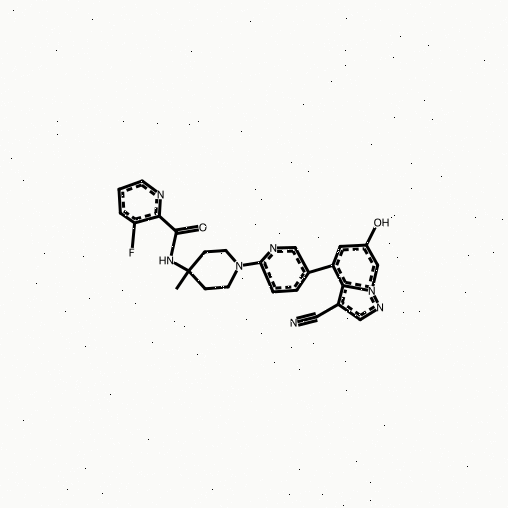 CC1(NC(=O)c2ncccc2F)CCN(c2ccc(-c3cc(O)cn4ncc(C#N)c34)cn2)CC1